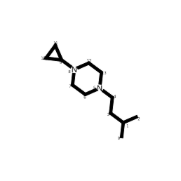 CC(C)CCN1CCN(C2CC2)CC1